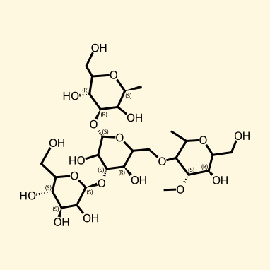 CO[C@@H]1C(OCC2O[C@@H](O[C@@H]3C(O)[C@H](C)OC(CO)[C@H]3O)C(O)[C@@H](O[C@@H]3OC(CO)[C@@H](O)[C@H](O)C3O)[C@@H]2O)C(C)OC(CO)[C@H]1O